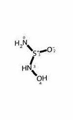 N[S+]([O-])NO